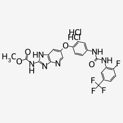 COC(=O)Nc1nc2ncc(Oc3ccc(NC(=O)Nc4cc(C(F)(F)F)ccc4F)cc3)cc2[nH]1.Cl.Cl